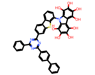 Oc1c(O)c(O)c2c(c1O)c1c(O)c(O)c(O)c(O)c1n2-c1cccc2c1sc1cc(-c3nc(-c4ccccc4)nc(-c4ccc(-c5ccccc5)cc4)n3)ccc12